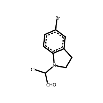 O=CC(Cl)N1CCc2cc(Br)ccc21